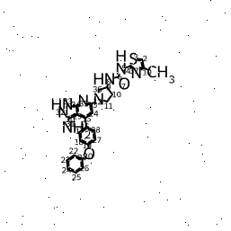 Cc1csc(NC(=O)NC2CCN(c3cc(-c4ccc(Oc5ccccc5)cc4)c4c(N)n[nH]c4n3)C2)n1